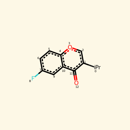 CC(C)c1coc2ccc(F)cc2c1=O